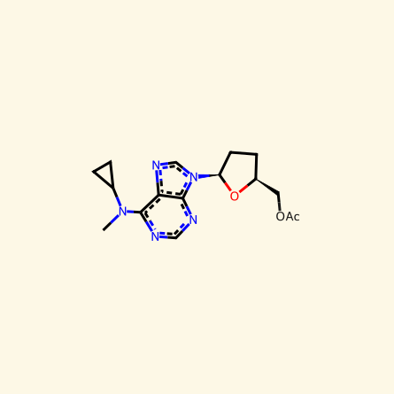 CC(=O)OC[C@@H]1CC[C@H](n2cnc3c(N(C)C4CC4)ncnc32)O1